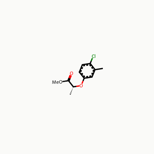 COC(=O)[C@@H](C)Oc1ccc(Cl)c(C)c1